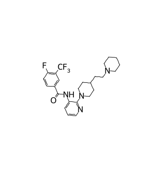 O=C(Nc1cccnc1N1CCC(CCN2CCCCC2)CC1)c1ccc(F)c(C(F)(F)F)c1